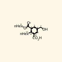 CCCCCCOC(=O)c1cc(CO)cc(C(=O)O)c1CCCCCC